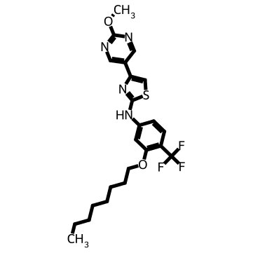 CCCCCCCCOc1cc(Nc2nc(-c3cnc(OC)nc3)cs2)ccc1C(F)(F)F